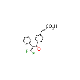 O=C(O)C=Cc1ccc(C(=O)C(=C(F)F)c2ccccc2)cc1